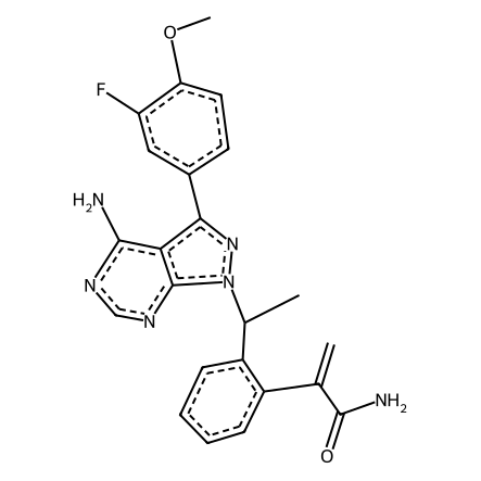 C=C(C(N)=O)c1ccccc1C(C)n1nc(-c2ccc(OC)c(F)c2)c2c(N)ncnc21